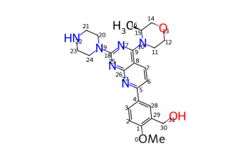 COc1ccc(-c2ccc3c(N4CCOC[C@@H]4C)nc(N4CCNCC4)nc3n2)cc1CO